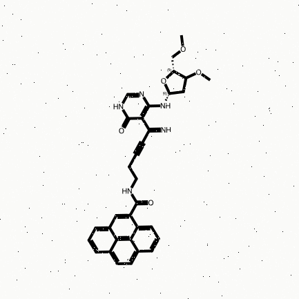 COC[C@H]1O[C@@H](Nc2nc[nH]c(=O)c2C(=N)C#CCCNC(=O)c2cc3cccc4ccc5cccc2c5c43)CC1OC